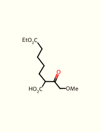 CCOC(=O)CCCCC(C(=O)O)C(=O)COC